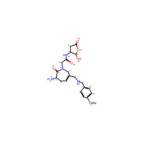 COc1ccc(CNCC2=CCC(N)C(=O)N(CC(=O)NC3CC(=O)OC3O)C2)cc1